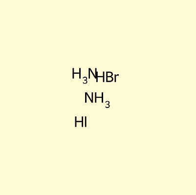 Br.I.N.N